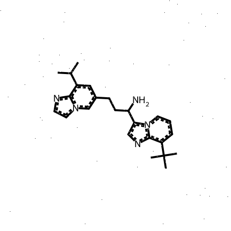 CC(C)c1cc(CCC(N)c2cnc3c(C(C)(C)C)cccn23)cn2ccnc12